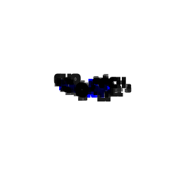 CCC(CC)n1c(C)cc2cnc(Nc3ccc(N4CCN(CC=O)CC4)cc3)nc21